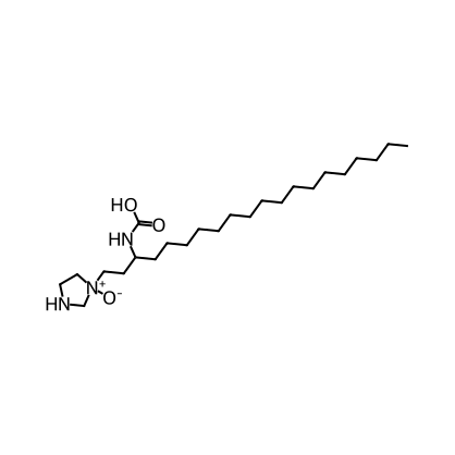 CCCCCCCCCCCCCCCCCC(CC[N+]1([O-])CCNC1)NC(=O)O